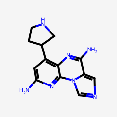 Nc1cc(C2CCNC2)c2nc(N)c3cncn3c2n1